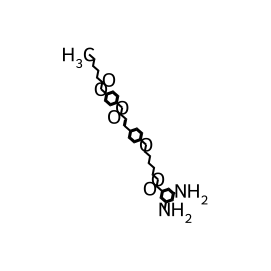 CCCCCC(=O)Oc1ccc(OC(=O)/C=C/c2ccc(OCCCCCOC(=O)c3cc(N)cc(N)c3)cc2)cc1